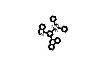 c1ccc(-c2nc(-c3ccccc3)nc(-c3cc(-c4nccc5ccccc45)cc(-c4cc5ccccc5c5ccccc45)c3)n2)cc1